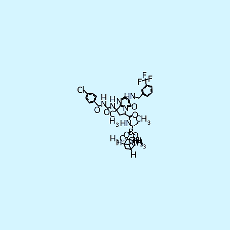 CC[C@H](NC(=O)C1CC(C)(NC(=O)NC(=O)c2ccc(Cl)cc2)c2ncc(NCc3cccc(C(F)(F)F)c3)c(=O)n21)B1O[C@@H]2C[C@@H]3C[C@@H](C3(C)C)[C@]2(C)O1